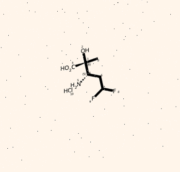 C[C@](O)(C(=O)O)[C@@H](N)CC(F)F.Cl